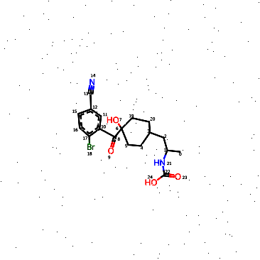 CC(CC1CCC(O)(C(=O)c2cc(C#N)ccc2Br)CC1)NC(=O)O